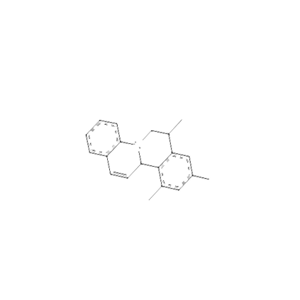 Cc1cc(C)c2c(c1)C(C)CN1c3ccccc3C=CC21